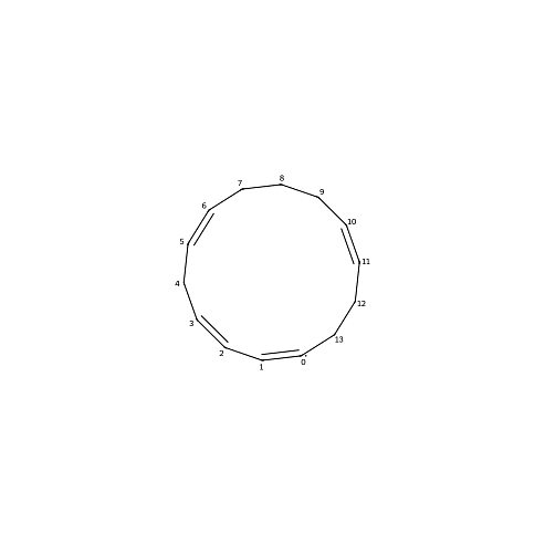 [C]1=CC=CCC=CCCCC=CCC1